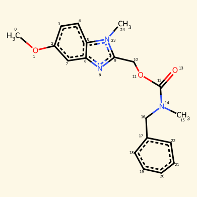 COc1ccc2c(c1)nc(COC(=O)N(C)Cc1ccccc1)n2C